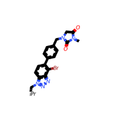 CC(C)Cn1nnc2c(Br)c(-c3ccc(CN4CC(=O)N(C)C4=O)cc3)ccc21